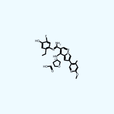 CCc1cc(O)c(F)cc1N=C(N)c1cnn2cc(-c3cnc(OC)cc3C)cc2c1N[C@H]1CCOC1.O=CO